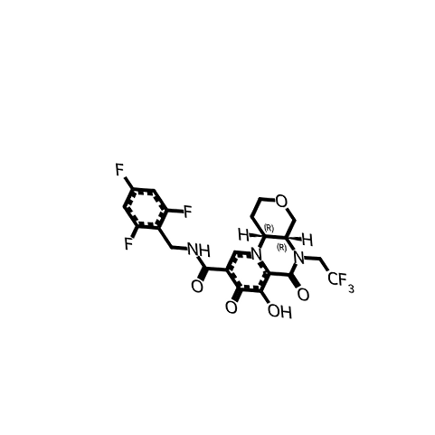 O=C(NCc1c(F)cc(F)cc1F)c1cn2c(c(O)c1=O)C(=O)N(CC(F)(F)F)[C@H]1COCC[C@H]12